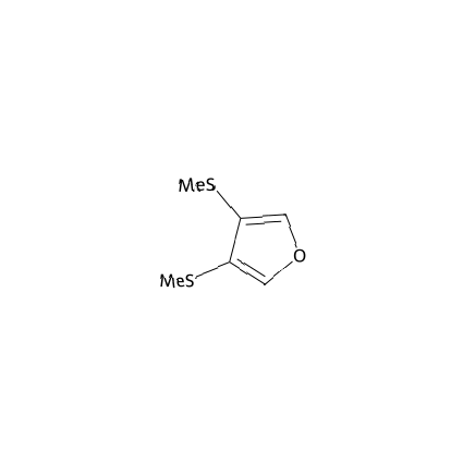 CSc1cocc1SC